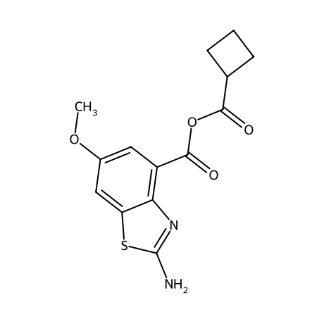 COc1cc(C(=O)OC(=O)C2CCC2)c2nc(N)sc2c1